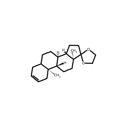 C[C@]12CC=CCC1CC[C@@H]1[C@@H]2CC[C@@]2(C)[C@H]1CCC21OCCO1